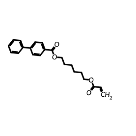 C=CC(=O)OCCCCCCOC(=O)c1ccc(-c2ccccc2)cc1